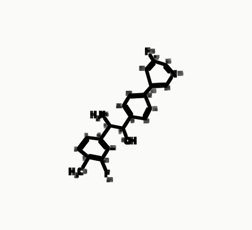 Cc1ccc(C(N)C(O)c2ccc(-c3cncc(F)c3)cc2)cc1F